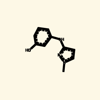 Cn1ccc(Nc2cccc(O)c2)n1